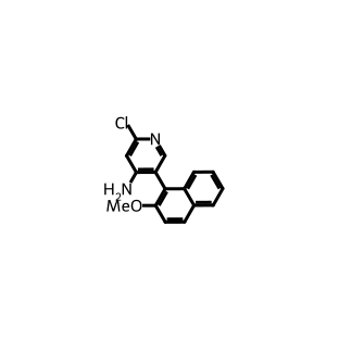 COc1ccc2ccccc2c1-c1cnc(Cl)cc1N